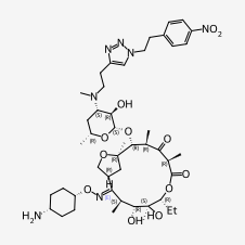 CC[C@H]1OC(=O)[C@H](C)C(=O)[C@H](C)[C@@H](O[C@@H]2O[C@H](C)C[C@H](N(C)CCc3cn(CCc4ccc([N+](=O)[O-])cc4)nn3)[C@H]2O)[C@@]2(C)C[C@@H](CO2)/C(=N\O[C@H]2CC[C@@H](N)CC2)[C@H](C)[C@@H](O)[C@]1(C)O